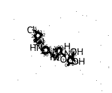 CC(C)CC1(NC(=O)c2cccn3c(-c4ccc(Nc5nc6ccc(Cl)cc6s5)cc4)nnc23)C(O)=C1O